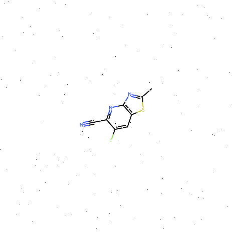 Cc1nc2nc(C#N)c(F)cc2s1